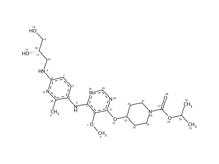 COc1c(Nc2ccc(NC[C@H](O)CO)nc2C)ncnc1OC1CCN(C(=O)OC(C)C)CC1